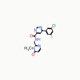 Cn1c(CNC(=O)c2cc(-c3cc(F)cc(Cl)c3)ncn2)nccc1=O